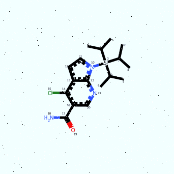 CC(C)[Si](C(C)C)(C(C)C)n1ccc2c(Cl)c(C(N)=O)cnc21